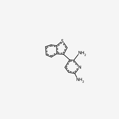 Nc1ccc(-c2csc3ccccc23)c(N)n1